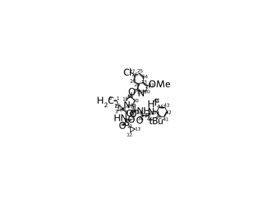 C=C[C@@H]1C[C@@]1(C(=O)NS(=O)(=O)C1CC1)N1C[C@H](Oc2ncc(OC)c3ccc(Cl)cc23)C[C@H]1C(=O)NC(=O)[C@H](Nc1ccccc1F)C(C)(C)C